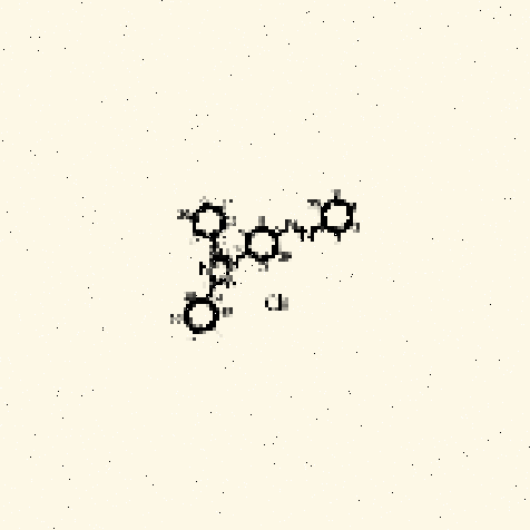 [Cl-].c1ccc(N=Nc2ccc(-n3nc(-c4ccccc4)n[n+]3-c3ccccc3)cc2)cc1